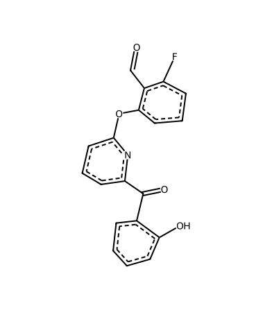 O=Cc1c(F)cccc1Oc1cccc(C(=O)c2ccccc2O)n1